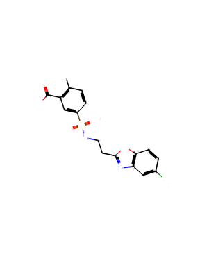 Cc1ccc(S(=O)(=O)NCCc2nc3cc(Cl)ccc3o2)cc1C(=O)O